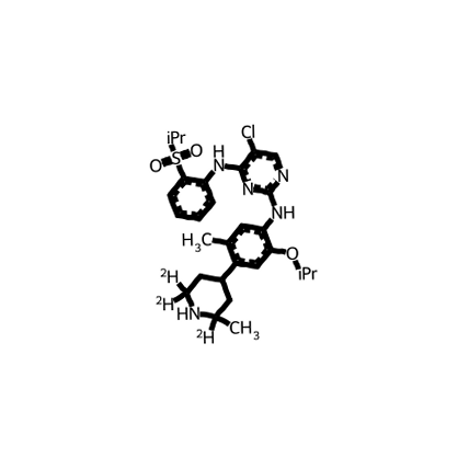 [2H]C1([2H])CC(c2cc(OC(C)C)c(Nc3ncc(Cl)c(Nc4ccccc4S(=O)(=O)C(C)C)n3)cc2C)CC([2H])(C)N1